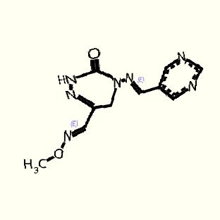 CO/N=C/C1=NNC(=O)N(/N=C/c2cncnc2)C1